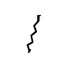 [CH]=CCCCCCF